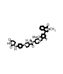 COc1cc(-c2cn(C)c(=O)c3ccccc23)cc(F)c1CN1CCC(N(C)C(=O)C2CCN(c3ccc(NC4CCC(=O)NC4=O)cc3)CC2)CC1